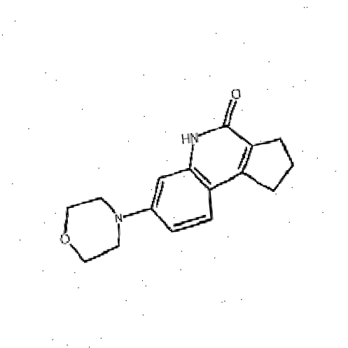 O=c1[nH]c2cc(N3CCOCC3)ccc2c2c1CCC2